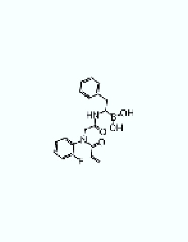 C=CC(=O)N(CC(=O)NC(Cc1ccccc1)B(O)O)c1ccccc1F